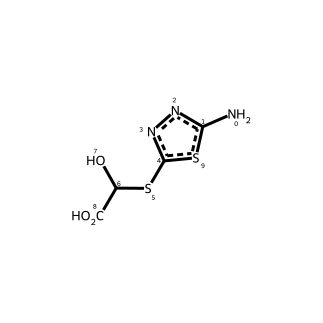 Nc1nnc(SC(O)C(=O)O)s1